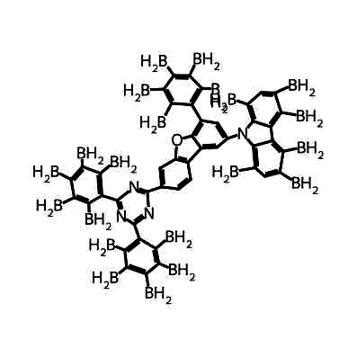 Bc1cc(B)c2c(c1B)c1c(B)c(B)cc(B)c1n2-c1cc(-c2c(B)c(B)c(B)c(B)c2B)c2oc3cc(-c4nc(-c5c(B)c(B)c(B)c(B)c5B)nc(-c5c(B)c(B)c(B)c(B)c5B)n4)ccc3c2c1